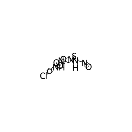 O=C(NCc1ccc(Cl)cc1)OC1=NOC2(CCN(C(=S)NCCCN3CCOCC3)CC2)C1